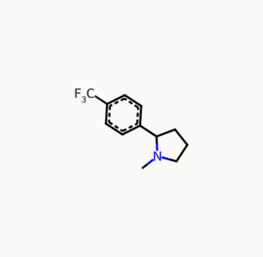 CN1CCCC1c1ccc(C(F)(F)F)cc1